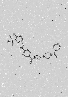 O=C(c1ccccc1)N1CCN(C2CN(C(=O)c3ccc(NCc4ccc(F)c(C(F)(F)F)c4)cc3)C2)CC1